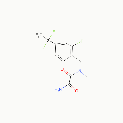 CN(Cc1ccc(C(F)(F)C(F)(F)F)cc1F)C(=O)C(N)=O